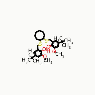 COc1cc(C(C)(C)C)cc(CSC2CCCCCC[C@@H]2SCc2cc(C(C)(C)C)cc(OC)c2O)c1O